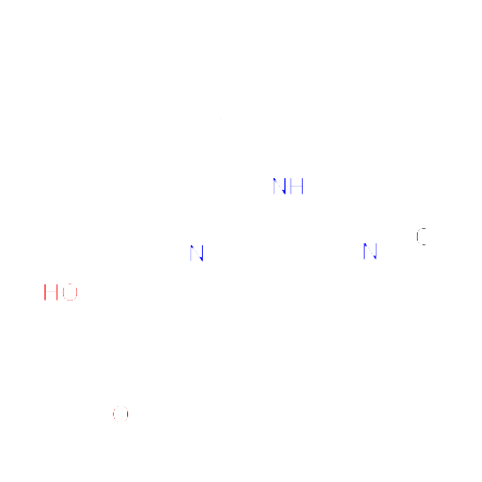 [C-]#[N+]c1ccc(C(=O)O)nc1NC(C)C